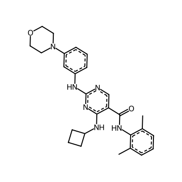 Cc1cccc(C)c1NC(=O)c1cnc(Nc2cccc(N3CCOCC3)c2)nc1NC1CCC1